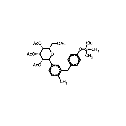 CC(=O)OC[C@H]1O[C@@H](c2ccc(C)c(Cc3ccc(O[Si](C)(C)C(C)(C)C)cc3)c2)[C@H](OC(C)=O)[C@@H](OC(C)=O)[C@@H]1OC(C)=O